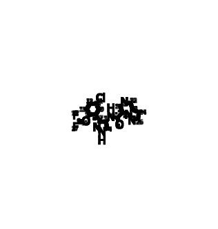 O=C(Nc1c[nH]nc1-c1cc(Cl)ccc1OC(F)F)c1cncc2ccnn12